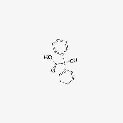 O=C(O)[C@](O)(C1=CCCC=C1)c1ccccc1